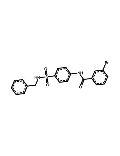 O=C(Nc1ccc(S(=O)(=O)NCc2ccccc2)cc1)c1cccc(Br)c1